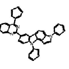 c1ccc(-c2nc(-c3ccc4c(c3)c3ccc5c(ccn5-c5ccccc5)c3n4-c3ccccc3)nc3ccccc23)cc1